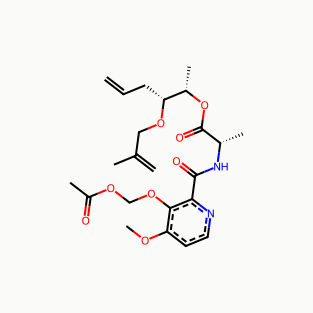 C=CC[C@@H](OCC(=C)C)[C@H](C)OC(=O)[C@H](C)NC(=O)c1nccc(OC)c1OCOC(C)=O